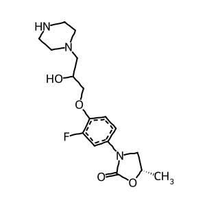 C[C@H]1CN(c2ccc(OCC(O)CN3CCNCC3)c(F)c2)C(=O)O1